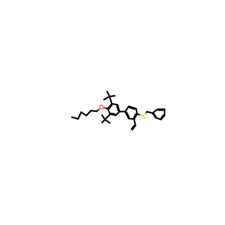 C=Cc1cc(-c2cc(C(C)(C)C)c(OCCCCCC)c(C(C)(C)C)c2)ccc1SCc1ccccc1